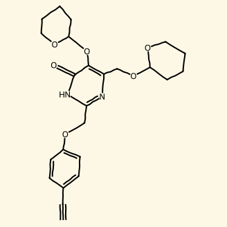 C#Cc1ccc(OCc2nc(COC3CCCCO3)c(OC3CCCCO3)c(=O)[nH]2)cc1